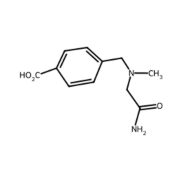 CN(CC(N)=O)Cc1ccc(C(=O)O)cc1